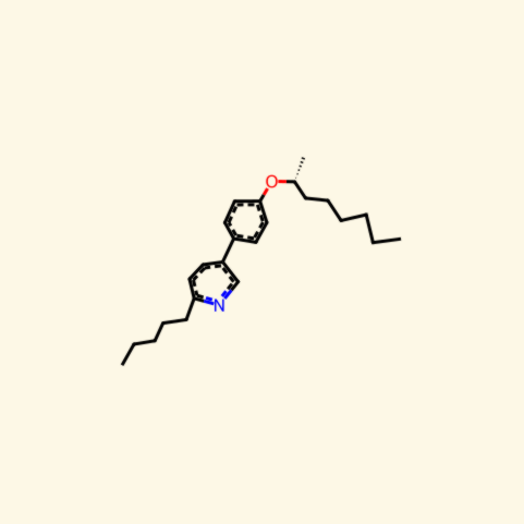 CCCCCC[C@@H](C)Oc1ccc(-c2ccc(CCCCC)nc2)cc1